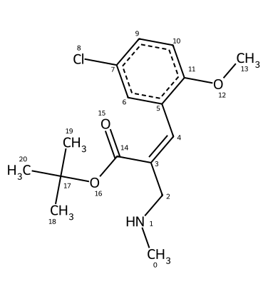 CNCC(=Cc1cc(Cl)ccc1OC)C(=O)OC(C)(C)C